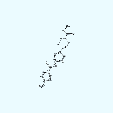 CC(C)(C)OC(=O)N1CC=C(c2ccc(NC(=O)c3ccc(C(=O)O)cc3)nn2)CC1